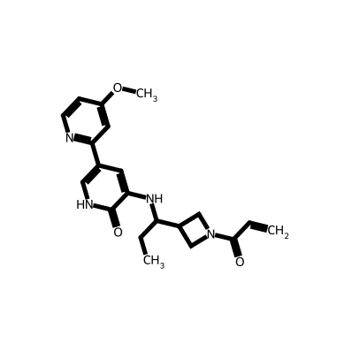 C=CC(=O)N1CC(C(CC)Nc2cc(-c3cc(OC)ccn3)c[nH]c2=O)C1